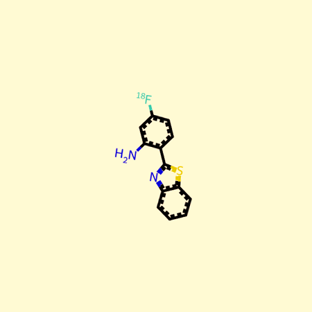 Nc1cc([18F])ccc1-c1nc2ccccc2s1